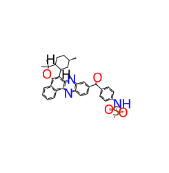 C[C@@H]1CC[C@@H]2[C@@H](C1)c1c(c3ccccc3c3nc4ccc(C(=O)c5ccc(NS(C)(=O)=O)cc5)cc4nc13)OC2(C)C